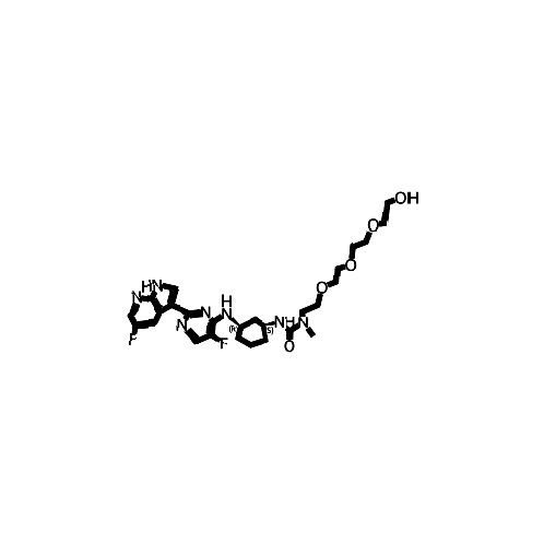 CN(CCOCCOCCOCCO)C(=O)N[C@H]1CCC[C@@H](Nc2nc(-c3c[nH]c4ncc(F)cc34)ncc2F)C1